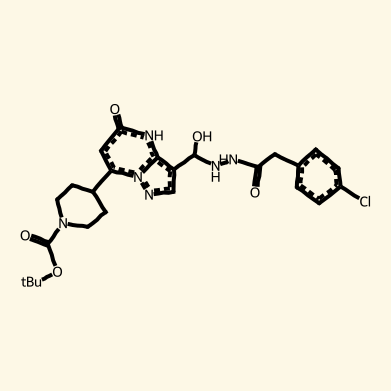 CC(C)(C)OC(=O)N1CCC(c2cc(=O)[nH]c3c(C(O)NNC(=O)Cc4ccc(Cl)cc4)cnn23)CC1